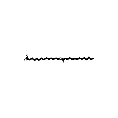 CCCCCCCCCCCCCC(=O)OCCCCCCCCCCCCCC(=O)[S]